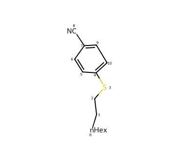 CCCCCCCCSc1ccc(C#N)cc1